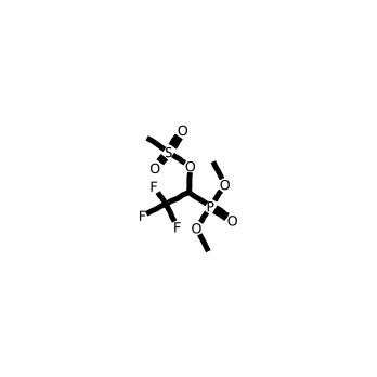 COP(=O)(OC)C(OS(C)(=O)=O)C(F)(F)F